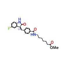 COC(=O)CCCCCCNC(=O)c1ccc(/C=C2\C(=O)Nc3ccc(F)cc32)cc1